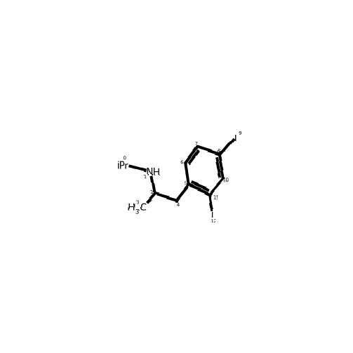 CC(C)NC(C)Cc1ccc(I)cc1I